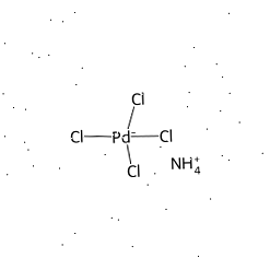 [Cl][Pd-]([Cl])([Cl])[Cl].[NH4+]